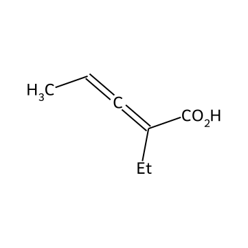 CC=C=C(CC)C(=O)O